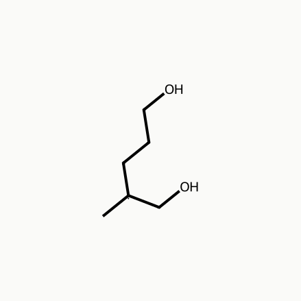 C[C](CO)CCCO